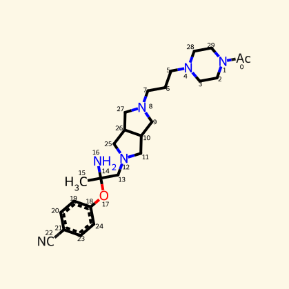 CC(=O)N1CCN(CCCN2CC3CN(CC(C)(N)Oc4ccc(C#N)cc4)CC3C2)CC1